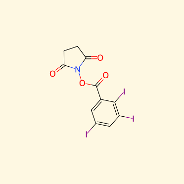 O=C(ON1C(=O)CCC1=O)c1cc(I)cc(I)c1I